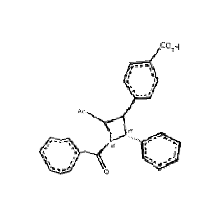 CC(=O)C1C(c2ccc(C(=O)O)cc2)[C@H](c2ccccc2)[C@H]1C(=O)c1ccccc1